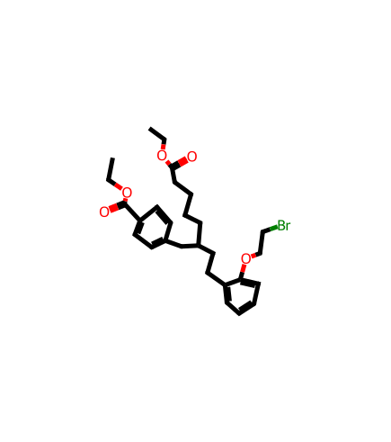 CCOC(=O)CCCCC(CCc1ccccc1OCCBr)Cc1ccc(C(=O)OCC)cc1